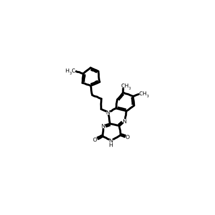 Cc1cccc(CCCn2c3nc(=O)[nH]c(=O)c-3nc3cc(C)c(C)cc32)c1